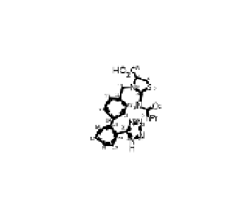 CCCC(=O)N=C1SCC(C(=O)O)N1Cc1ccc(-c2ccccc2-c2nnn[nH]2)cc1